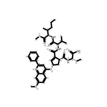 CCCC(C)[C@@H](NC(=O)[C@H](NC(=O)C1=C[C@@H](Oc2cc(-c3ccccc3)nc3cc(OC)ccc23)C[C@@H]1C(=O)N[C@@H](CC)C(=O)O)C(C)C)C(=O)OC